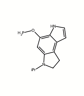 CC(C)N1CCc2c1cc(OP)c1[nH]ccc21